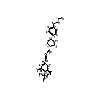 CCCCc1ccc([C@H]2CC[C@H](C=CC#Cc3cc(F)c(C(F)(F)F)c(F)c3)CC2)cc1